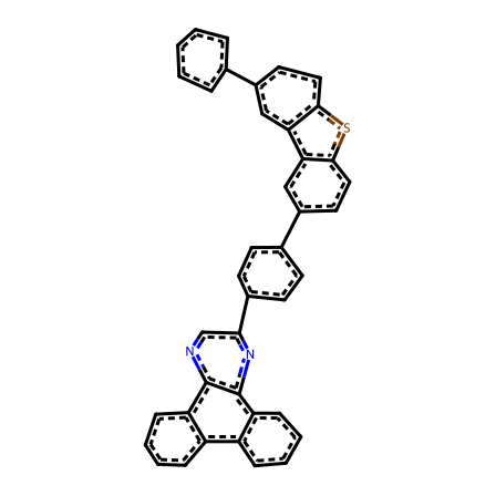 c1ccc(-c2ccc3sc4ccc(-c5ccc(-c6cnc7c8ccccc8c8ccccc8c7n6)cc5)cc4c3c2)cc1